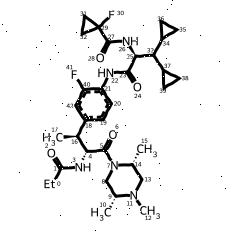 CCC(=O)N[C@@H](C(=O)N1C[C@@H](C)N(C)C[C@H]1C)[C@@H](C)c1ccc(NC(=O)[C@@H](NC(=O)C2(F)CC2)C(C2CC2)C2CC2)c(F)c1